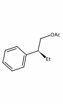 CC[C@H](COC(C)=O)c1ccccc1